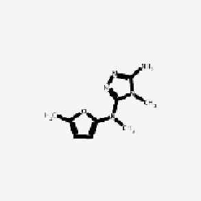 Cc1ccc(N(C)c2nnc(N)n2C)o1